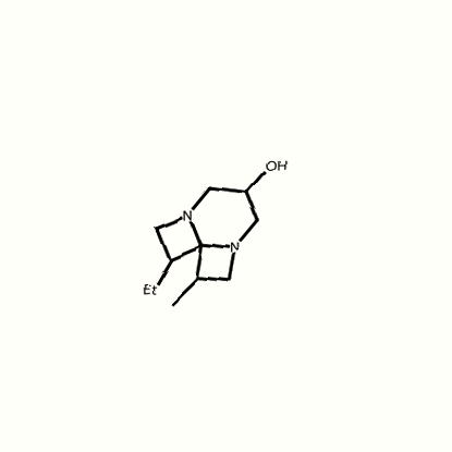 CCC1CN2CC(O)CN3CC(C)C132